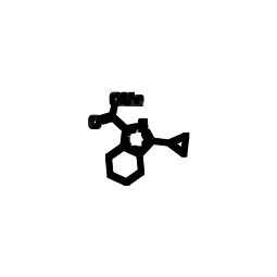 COC(=O)c1sc(C2CC2)c2c1CCCC2